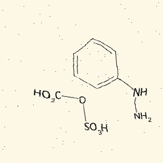 NNc1ccccc1.O=C(O)OS(=O)(=O)O